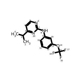 CC(C)c1ccnc(Nc2cccc(OC(F)(F)F)c2)n1